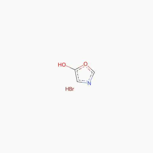 Br.Oc1cnco1